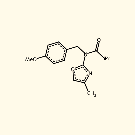 COc1ccc(CN(C(=O)C(C)C)c2nc(C)co2)cc1